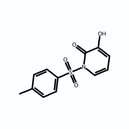 Cc1ccc(S(=O)(=O)n2cccc(O)c2=O)cc1